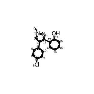 Cn1cc(-c2ccc(Cl)cc2)c(-c2ccccc2O)n1